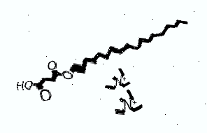 CCCCCCCCCCCCCCCC/C=C/OC(=O)CCC(=O)O.CC[N+](C)(CC)CC.CC[N+](C)(CC)CC